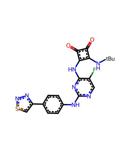 CC(C)(C)Nc1c(Nc2nc(Nc3ccc(-c4csnn4)cc3)ncc2F)c(=O)c1=O